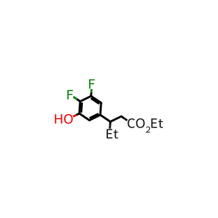 CCOC(=O)CC(CC)c1cc(O)c(F)c(F)c1